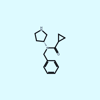 O=C(C1CC1)N(Cc1ccccc1)[C@@H]1CCNC1